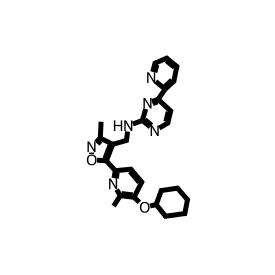 Cc1nc(-c2onc(C)c2CNc2nccc(-c3ccccn3)n2)ccc1OC1CCCCC1